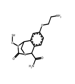 NCCOc1ccc2c(c1)C1CN(C(=O)N1OS)C2C(N)=O